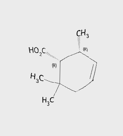 C[C@@H]1C=CCC(C)(C)[C@@H]1C(=O)O